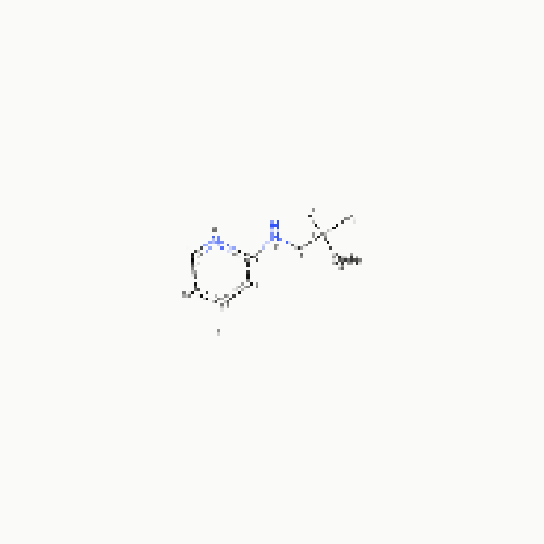 COC(C)(C)CNc1cc(C)ccn1